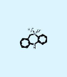 C[N+]1([O-])Cc2ccccc2Nc2ccccc21